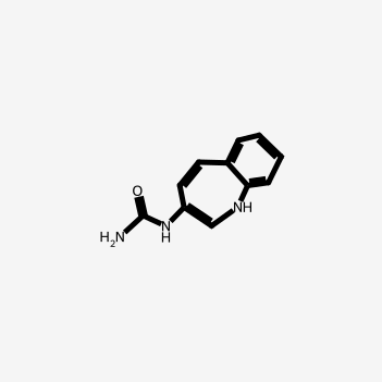 NC(=O)NC1=CNc2ccccc2C=C1